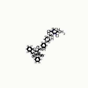 C=C/C(Cl)=C(NC(=O)N1CCN(c2ccc(NC(=O)CCN(Cc3ccccc3Cl)S(=O)(=O)c3ccccc3[N+](=O)[O-])cc2)CC1)\C(Cl)=C/C